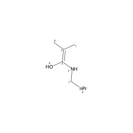 CCCCNC(O)=C(C)C